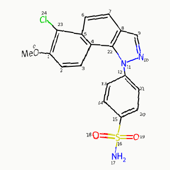 COc1ccc2c(ccc3cnn(-c4ccc(S(N)(=O)=O)cc4)c32)c1Cl